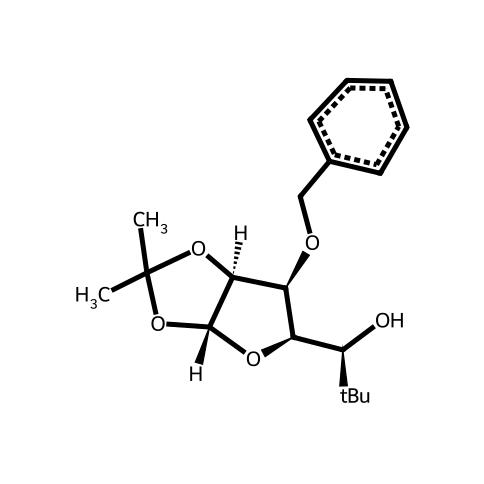 CC1(C)O[C@H]2O[C@H]([C@@H](O)C(C)(C)C)[C@H](OCc3ccccc3)[C@@H]2O1